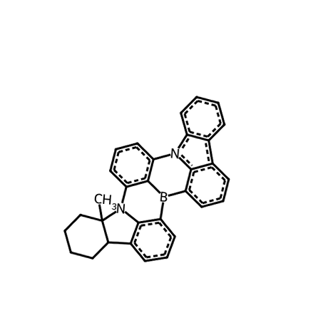 CC12CCCCC1c1cccc3c1N2c1cccc2c1B3c1cccc3c4ccccc4n-2c13